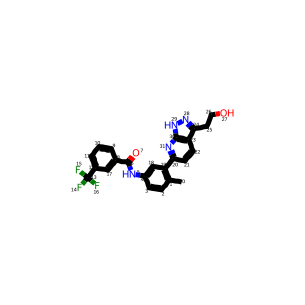 Cc1ccc(NC(=O)c2cccc(C(F)(F)F)c2)cc1-c1ccc2c(CCO)n[nH]c2n1